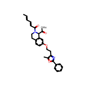 CC=CC=CC(=O)N1CCc2ccc(OCCc3nc(-c4ccccc4)oc3C)cc2C1C(=O)OC